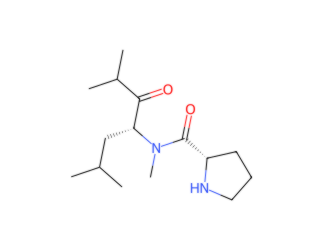 CC(C)C[C@H](C(=O)C(C)C)N(C)C(=O)[C@@H]1CCCN1